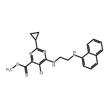 COC(=O)c1nc(C2CC2)nc(NCCNc2cccc3ccccc23)c1Cl